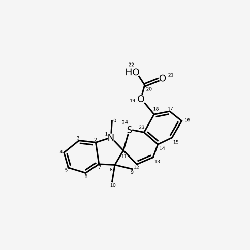 CN1c2ccccc2C(C)(C)C12C=Cc1cccc(OC(=O)O)c1S2